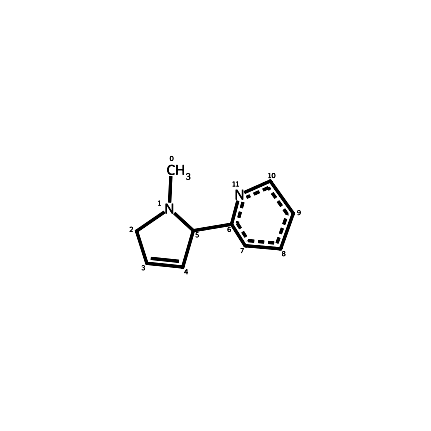 CN1CC=CC1c1ccccn1